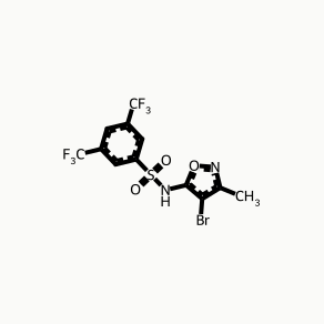 Cc1noc(NS(=O)(=O)c2cc(C(F)(F)F)cc(C(F)(F)F)c2)c1Br